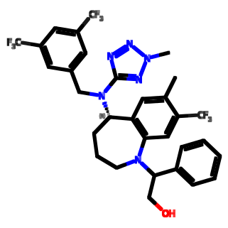 Cc1cc2c(cc1C(F)(F)F)N(C(CO)c1ccccc1)CCC[C@@H]2N(Cc1cc(C(F)(F)F)cc(C(F)(F)F)c1)c1nnn(C)n1